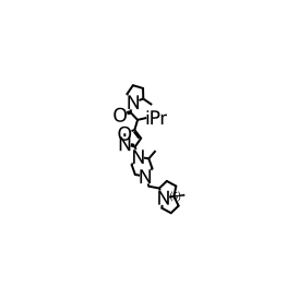 CC(C)C(C(=O)N1CCCC1C)c1cc(N2CCN(CC3CC[C@]4(C)CCCN34)CC2C)no1